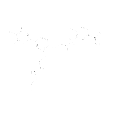 CCOC(=O)CCNC(=O)COc1cc(-c2cc(F)c(F)c(F)c2)ccc1CCNS(=O)(=O)c1cc(C(=N)N)ccc1O